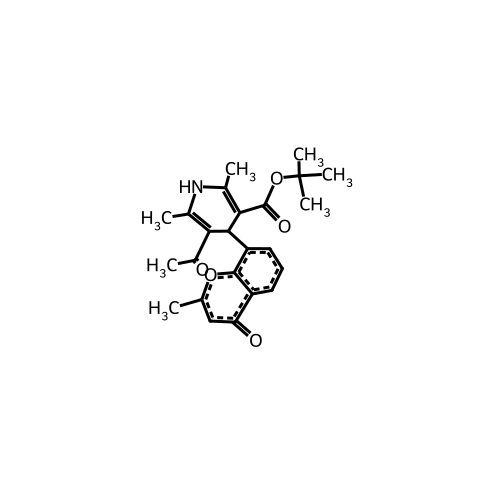 CC(=O)C1=C(C)NC(C)=C(C(=O)OC(C)(C)C)C1c1cccc2c(=O)cc(C)oc12